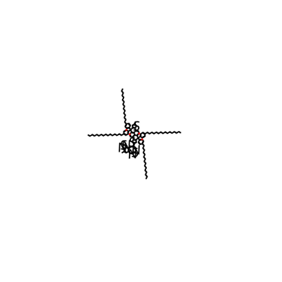 CCCCCCCCCCCCCCCCc1ccc(C2(c3ccc(CCCCCCCCCCCCCCCC)cc3)c3cc(C)sc3-c3ccc4c5c(ccc2c35)-c2sc(-c3cnsncc5cc(C)c6nsnc6c5c3)cc2C4(c2ccc(CCCCCCCCCCCCCCCC)cc2)c2ccc(CCCCCCCCCCCCCCCC)cc2)cc1